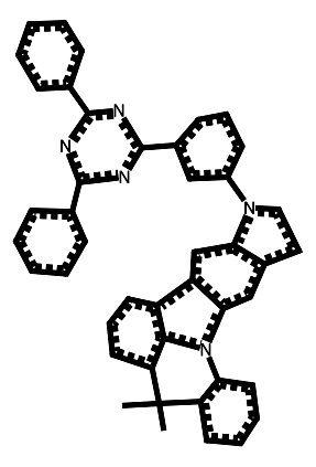 CC1(C)c2ccccc2-n2c3cc4ccn(-c5cccc(-c6nc(-c7ccccc7)nc(-c7ccccc7)n6)c5)c4cc3c3cccc1c32